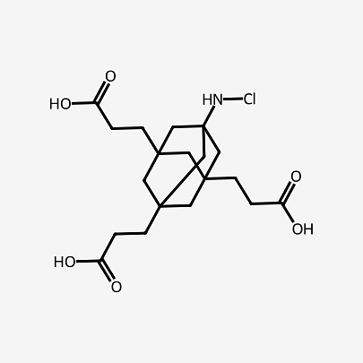 O=C(O)CCC12CC3(CCC(=O)O)CC(CCC(=O)O)(C1)CC(NCl)(C2)C3